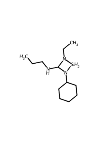 CCCNC1N(CC)[SiH2]N1C1CCCCC1